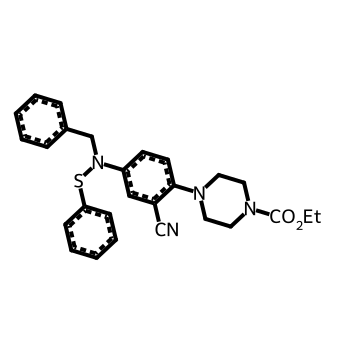 CCOC(=O)N1CCN(c2ccc(N(Cc3ccccc3)Sc3ccccc3)cc2C#N)CC1